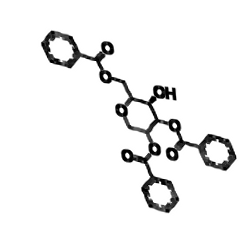 O=C(OCC1OCC(OC(=O)c2ccccc2)C(OC(=O)c2ccccc2)[C@@H]1O)c1ccccc1